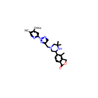 COc1cc(-n2ncc(CN3CC(c4ccc5c(c4C)COC5=O)NC(C)(C)C3)n2)ncc1C#N